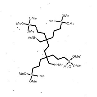 CO[Si](CCCC(CCC[Si](OC)(OC)OC)(CCC(CCC[Si](OC)(OC)OC)(CCC[Si](OC)(OC)OC)CNC(C)=O)CNC(C)=O)(OC)OC